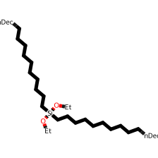 CCCCCCCCCCCCCCCCCCCC[Si](CCCCCCCCCCCCCCCCCCCC)(OCC)OCC